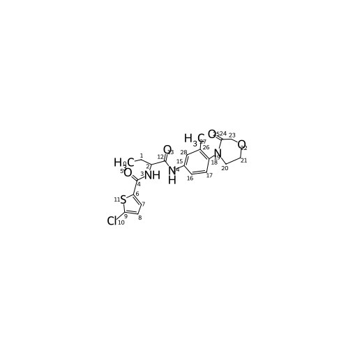 CCC(NC(=O)c1ccc(Cl)s1)C(=O)Nc1ccc(N2CCOCC2=O)c(C)c1